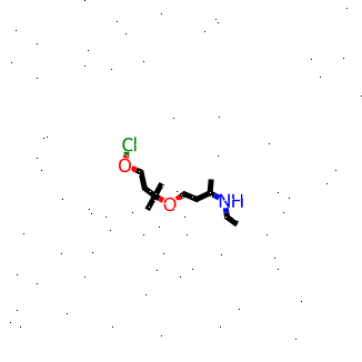 CCNC(C)CCOC(C)(C)CCOCl